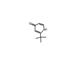 CC(C)(C)c1cc(=O)cc[nH]1